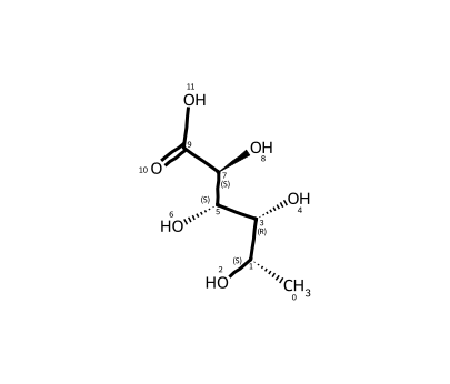 C[C@H](O)[C@@H](O)[C@H](O)[C@H](O)C(=O)O